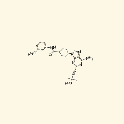 COc1cccc(NC(=O)C2CCC(n3cnc4c(N)nc(C#CC(C)(C)O)nc43)CC2)c1